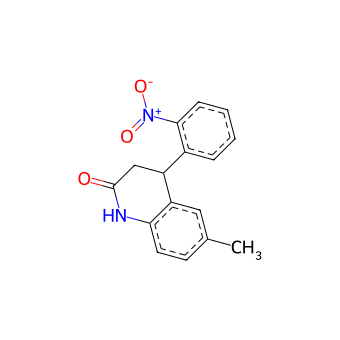 Cc1ccc2c(c1)C(c1ccccc1[N+](=O)[O-])CC(=O)N2